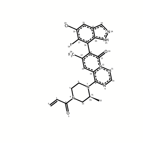 C=CC(=O)N1CCN(c2ncnn3c(=O)c(-c4c(F)c(Cl)cc5cn[nH]c45)c(C(F)(F)F)cc23)[C@@H](C)C1